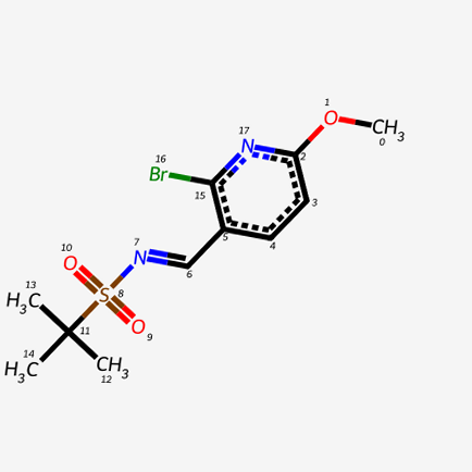 COc1ccc(C=NS(=O)(=O)C(C)(C)C)c(Br)n1